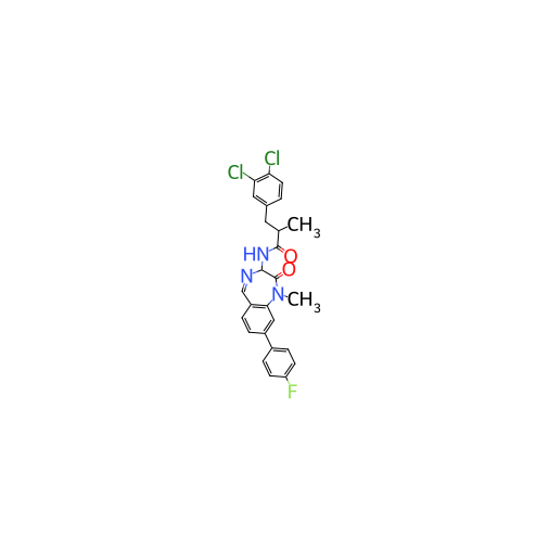 CC(Cc1ccc(Cl)c(Cl)c1)C(=O)NC1N=Cc2ccc(-c3ccc(F)cc3)cc2N(C)C1=O